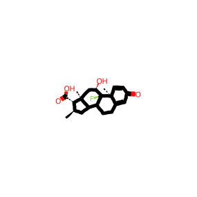 C[C@@H]1CC2C3CCC4=CC(=O)C=C[C@]4(C)[C@@]3(F)[C@@H](O)C[C@]2(C)[C@H]1C(=O)O